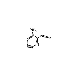 C=Cc1ncccc1N